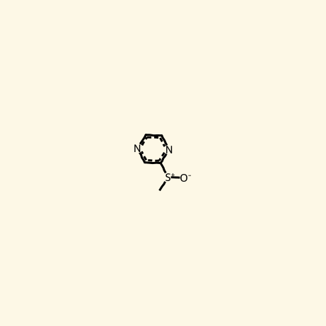 C[S+]([O-])c1cnccn1